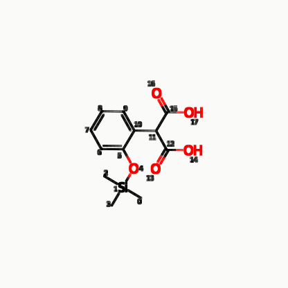 C[Si](C)(C)Oc1ccccc1C(C(=O)O)C(=O)O